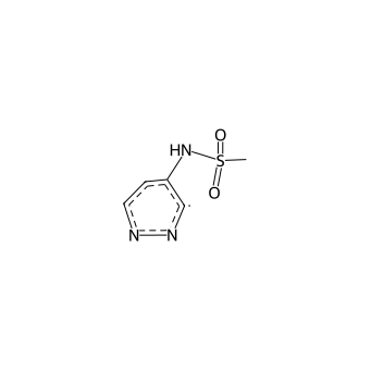 CS(=O)(=O)Nc1[c]nncc1